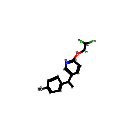 CC(c1ccc(C#N)cc1)c1ccc(OCC(F)F)nc1